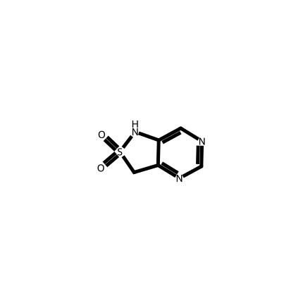 O=S1(=O)Cc2ncncc2N1